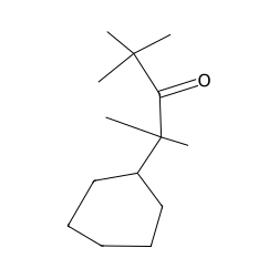 CC(C)(C)C(=O)C(C)(C)C1CCCCC1